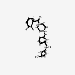 O=C(c1cccc(F)c1F)N1CCN(Cc2cccc(Nc3ncc(Br)s3)n2)CC1